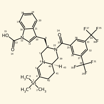 [CH3][Sn]([CH3])([CH3])[C]1=CN2C[C@@H](Cc3cn(C(=O)O)c4ccccc34)N(C(=O)c3cc(C(F)(F)F)cc(C(F)(F)F)c3)C[C@H]2CC1